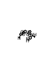 N#CC1CCN(S(=O)(=O)N2CCC[C@H](C(=O)N3CCC[C@@H]3C(=O)NC(c3ccc(C(F)(F)F)cc3)C3CC3)C2)C1